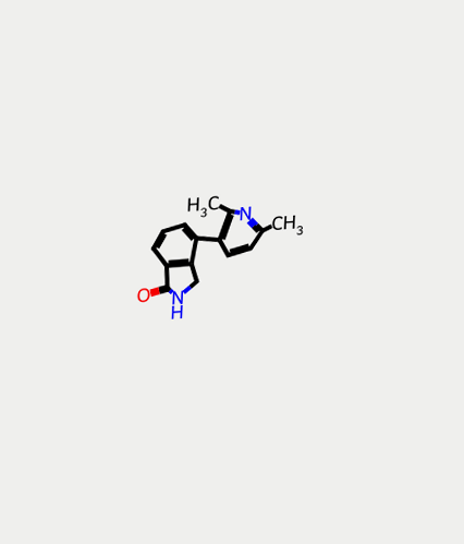 Cc1ccc(-c2cccc3c2CNC3=O)c(C)n1